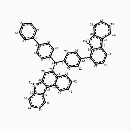 c1ccc(-c2ccc(N(c3ccc(-c4cccc5c4oc4ccccc45)cc3)c3cc4sc5ccccc5c4c4ccccc34)cc2)cc1